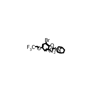 O=C(O)N1C2CCC1CN(c1nc3cc(OCC(F)(F)F)cc(Br)c3o1)C2